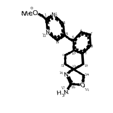 COc1ncc(-c2cccc3c2CCC2(COC(N)=N2)C3)cn1